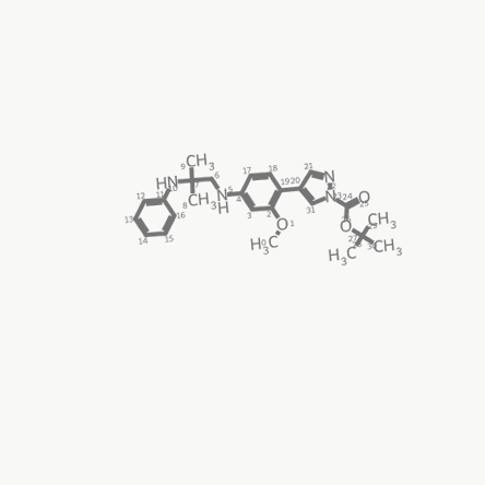 COc1cc(NCC(C)(C)Nc2ccccc2)ccc1-c1cnn(C(=O)OC(C)(C)C)c1